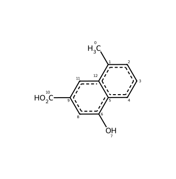 Cc1cccc2c(O)cc(C(=O)O)cc12